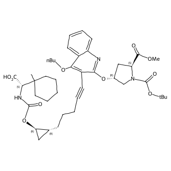 CCCCOc1c(C#CCCC[C@@H]2C[C@H]2OC(=O)N[C@H](C(=O)O)C2(C)CCCCC2)c(O[C@@H]2C[C@@H](C(=O)OC)N(C(=O)OC(C)(C)C)C2)nc2ccccc12